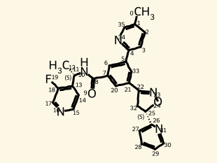 Cc1ccc(-c2cc(C(=O)N[C@@H](C)c3ccncc3F)cc(C3=NO[C@H](c4ccccn4)C3)c2)nc1